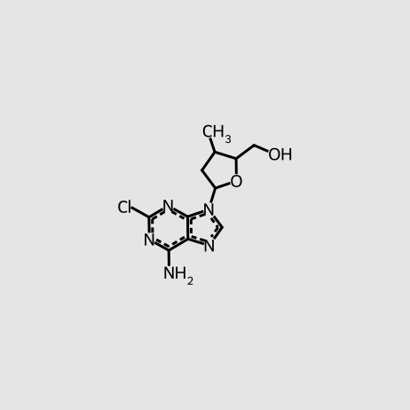 CC1CC(n2cnc3c(N)nc(Cl)nc32)OC1CO